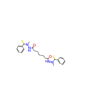 CN(NC(=O)CCCCCC(=O)NN(C)C(=S)c1ccccc1)C(=S)c1ccccc1